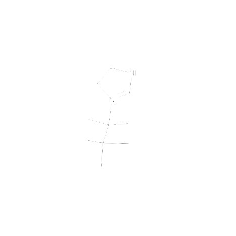 CC(C)(C)C(C)(C)[N+]1=CNCC1.[Cl-]